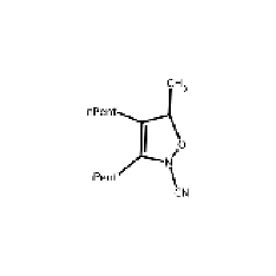 CCCCCC1=C(CCCCC)N(C#N)OC1C